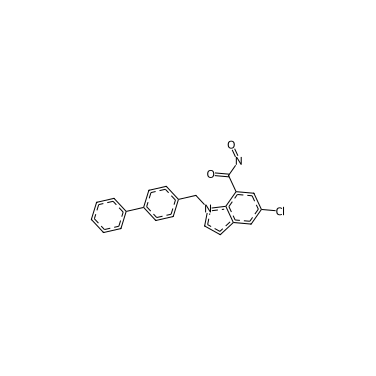 O=NC(=O)c1cc(Cl)cc2ccn(Cc3ccc(-c4ccccc4)cc3)c12